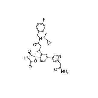 C[C@@H](C1CC1)N(Cc1ccc(F)cc1)C(=O)CC1C[C@@]2(OC(=O)NC2=O)c2ccc(-c3cnn(CC(N)=O)c3)cc21